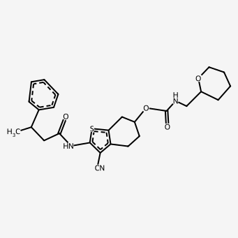 CC(CC(=O)Nc1sc2c(c1C#N)CCC(OC(=O)NCC1CCCCO1)C2)c1ccccc1